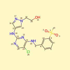 CS(=O)(=O)c1cccc(CNc2nc(Nc3cnn(CCO)c3)ncc2Cl)c1